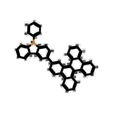 c1ccc(-p2c3ccccc3c3cc(-c4ccc5c6ccccc6c6c7ccccc7c7ccccc7c6c5c4)ccc32)cc1